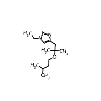 CCn1cc(CC(C)(C)OCCC(C)C)nn1